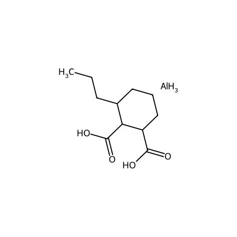 CCCC1CCCC(C(=O)O)C1C(=O)O.[AlH3]